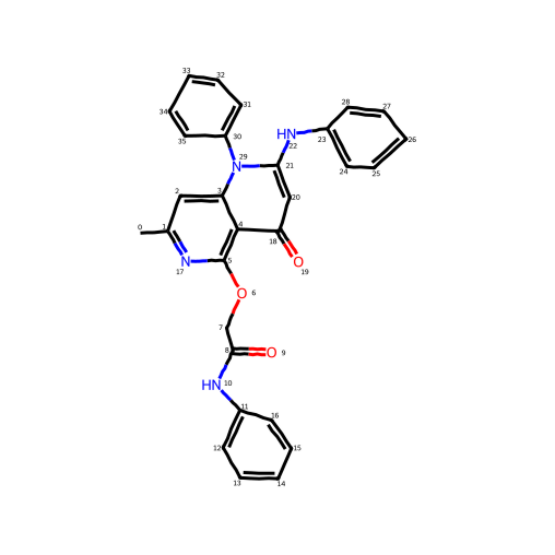 Cc1cc2c(c(OCC(=O)Nc3ccccc3)n1)c(=O)cc(Nc1ccccc1)n2-c1ccccc1